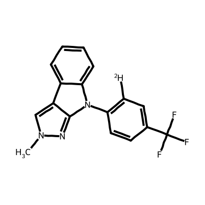 [2H]c1cc(C(F)(F)F)ccc1-n1c2ccccc2c2cn(C)nc21